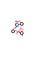 COc1ccccc1-c1nccc(COc2ccccc2OC(=O)C(C)OS(=O)(=O)c2ccc(C)cc2)n1